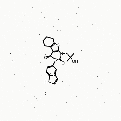 CC(C)(O)Cn1c(=O)n(-c2ccc3[nH]ccc3c2)c(=O)c2c3c(sc21)CCCC3